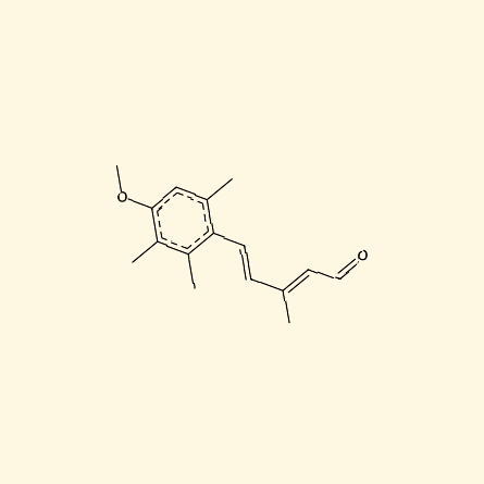 COc1cc(C)c(C=CC(C)=CC=O)c(C)c1C